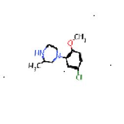 COc1ccc(Cl)cc1N1CCNC(C)C1